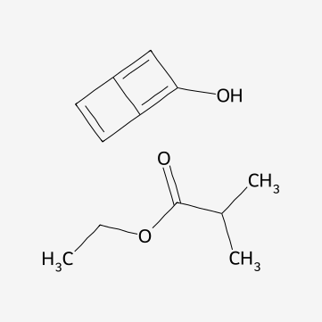 CCOC(=O)C(C)C.Oc1cc2ccc1-2